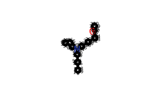 c1ccc(-c2ccc(-c3ccc(N(c4ccc(-c5ccc(-c6cccc(-c7cc8ccccc8o7)c6)cc5)cc4)c4ccc5c(ccc6ccccc65)c4)cc3)cc2)cc1